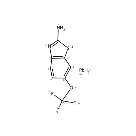 Nc1nc2ccc(OC(F)(F)F)cc2s1.[PbH2]